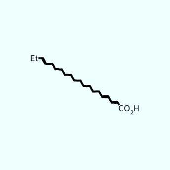 CCC=CCCCCCCCCCCCC=CC=CC(=O)O